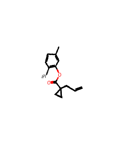 C=CCC1(C(=O)Oc2cc(C)ccc2C(C)C)CC1